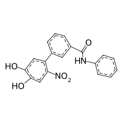 O=C(Nc1ccccc1)c1cccc(-c2cc(O)c(O)cc2[N+](=O)[O-])c1